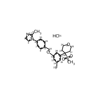 Cc1nccn1-c1ccc(COc2cc(F)cc(C3(S(C)(=O)=O)CCOCC3)c2)cc1.Cl